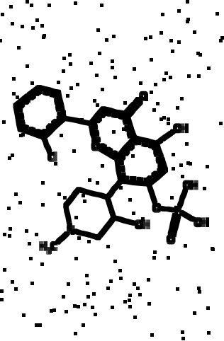 CN1CCC(c2c(OP(=O)(O)O)cc(O)c3c(=O)cc(-c4ccccc4Cl)oc23)C(O)C1